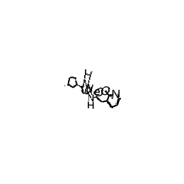 COc1ncccc1CC(=O)Nc1cc([C@H]2C[CH]CC2)[nH]n1